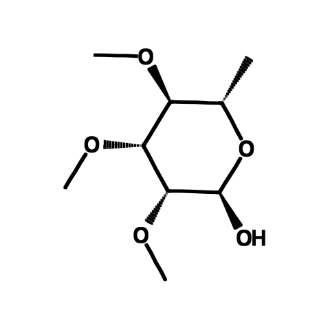 CO[C@@H]1[C@@H](OC)[C@H](C)O[C@@H](O)[C@@H]1OC